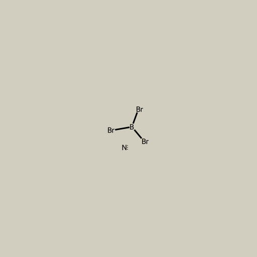 BrB(Br)Br.[N]